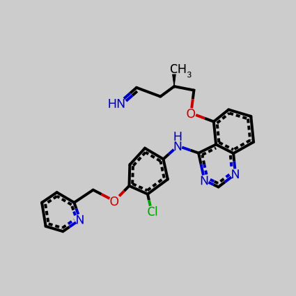 C[C@H](CC=N)COc1cccc2ncnc(Nc3ccc(OCc4ccccn4)c(Cl)c3)c12